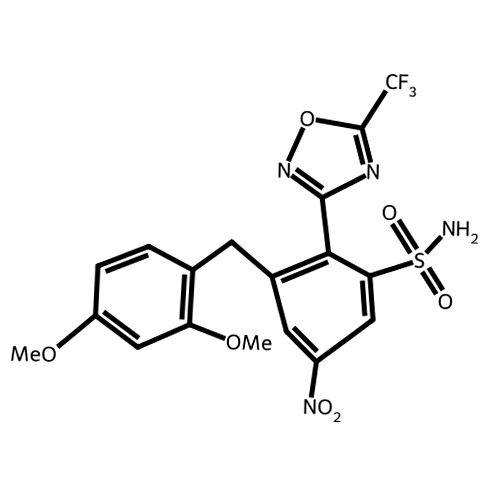 COc1ccc(Cc2cc([N+](=O)[O-])cc(S(N)(=O)=O)c2-c2noc(C(F)(F)F)n2)c(OC)c1